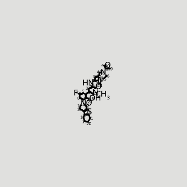 Cn1cc(-c2cc(F)cc(N3CCc4c(sc5c4CCCC5)C3=O)c2CO)cc(Nc2cc3n(n2)CCN(C2COC2)C3)c1=O